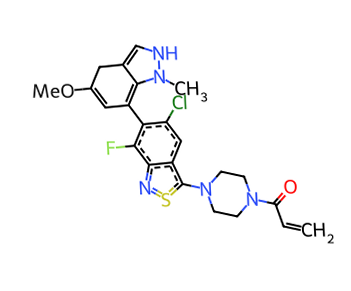 C=CC(=O)N1CCN(c2snc3c(F)c(C4=C5C(=CNN5C)CC(OC)=C4)c(Cl)cc23)CC1